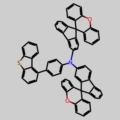 c1ccc2c(c1)Oc1ccccc1C21c2ccccc2-c2cc(N(c3ccc(-c4cccc5sc6ccccc6c45)cc3)c3ccc4c(c3)C3(c5ccccc5Oc5ccccc53)c3ccccc3-4)ccc21